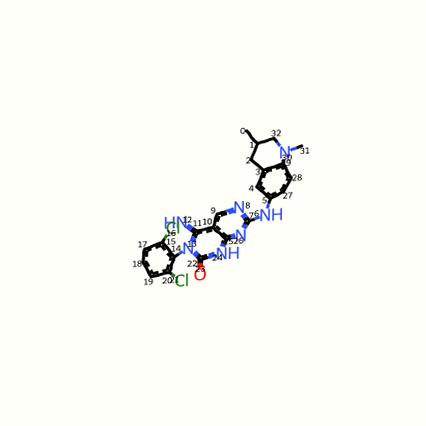 CC1Cc2cc(Nc3ncc4c(=N)n(-c5c(Cl)cccc5Cl)c(=O)[nH]c4n3)ccc2N(C)C1